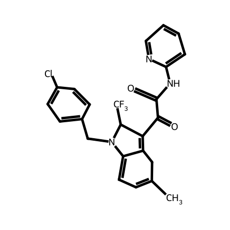 CC1=CC=C2C(=C(C(=O)C(=O)Nc3ccccn3)C(C(F)(F)F)N2Cc2ccc(Cl)cc2)C1